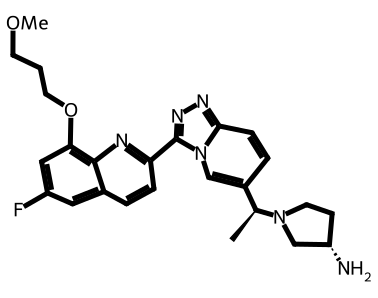 COCCCOc1cc(F)cc2ccc(-c3nnc4ccc([C@H](C)N5CC[C@H](N)C5)cn34)nc12